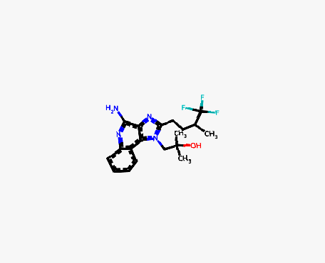 CC(CCc1nc2c(N)nc3ccccc3c2n1CC(C)(C)O)C(F)(F)F